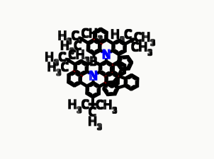 CC(C)(C)c1ccc2c(c1)B1c3cc(C(C)(C)C)ccc3N(c3c(-c4ccccc4)cc(C(C)(C)C)cc3-c3ccccc3)c3cc(C4(c5ccccc5)c5ccccc5-c5ccccc54)cc(c31)N2c1c(-c2ccccc2)cc(C(C)(C)C)cc1-c1ccccc1